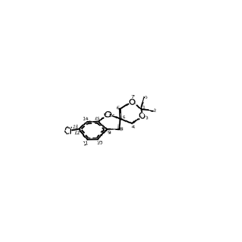 CC1(C)OCC2(CO1)Cc1ccc(Cl)cc1O2